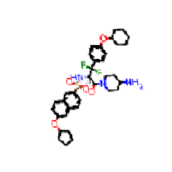 NC1CCN(C(=O)[C@H](NS(=O)(=O)c2ccc3cc(OC4CCCC4)ccc3c2)C(F)(F)c2ccc(OC3CCCCC3)cc2)CC1